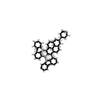 c1ccc2c(c1)c1cccc3c1n2B1c2c-3c3ccc4cc(-c5ccncc5)cc5ccc(c2-n2c6ccccc6c6cccc1c62)c3c45